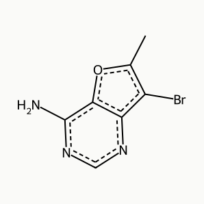 Cc1oc2c(N)ncnc2c1Br